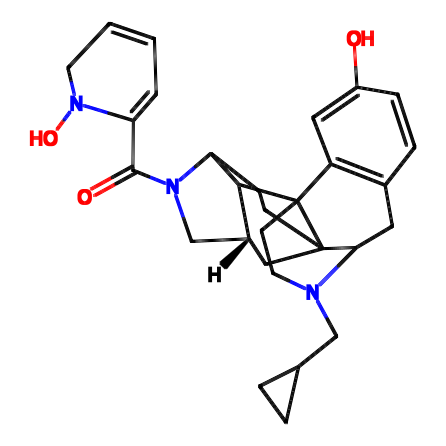 O=C(C1=CC=CCN1O)N1C[C@H]2CC34CCC1C2C31CCN(CC2CC2)C4Cc2ccc(O)cc21